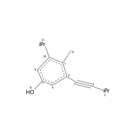 Cc1c(C#CC(C)C)cc(O)cc1C(C)C